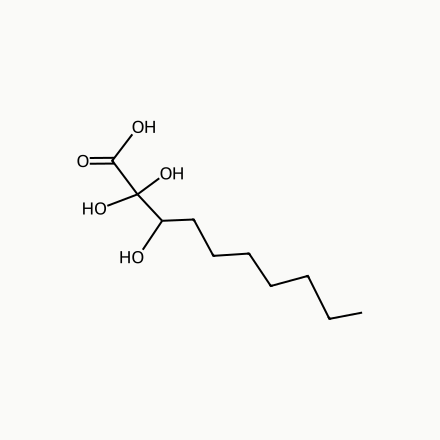 CCCCCCCC(O)C(O)(O)C(=O)O